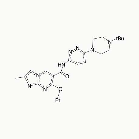 CCOc1nc2nc(C)cn2cc1C(=O)Nc1ccc(N2CCN(C(C)(C)C)CC2)nn1